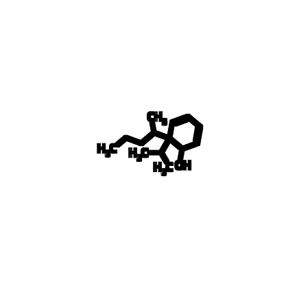 CCCC(C)C1(C(C)C)C=CC=CC1O